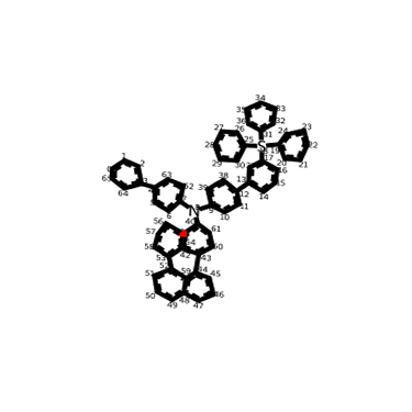 c1ccc(-c2ccc(N(c3ccc(-c4cccc(S(c5ccccc5)(c5ccccc5)c5ccccc5)c4)cc3)c3ccc(-c4cccc5cccc(-c6ccccc6)c45)cc3)cc2)cc1